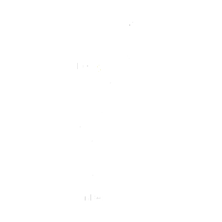 CCCCCCCCCCCCCCCCCC[S+](CC)c1ccccc1